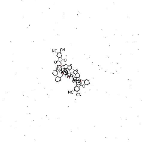 N#Cc1cc2c(cc1C#N)C(=O)C(=CC1=Cc3sc4c(c3C1(C(=O)OCc1ccccc1)C(=O)OCc1ccccc1)C(C(=O)OCc1ccccc1)(C(=O)OCc1ccccc1)c1c-4sc3c1C(C(=O)OCc1ccccc1)(C(=O)OCc1ccccc1)C(C=C1C(=O)c4cc(C#N)c(C#N)cc4C1=O)=C3)C2=O